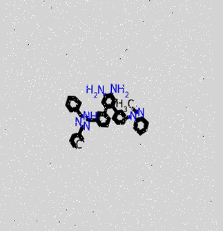 Cc1nc2ccccc2n1-c1cccc(-c2cc(N)c(N)cc2-c2cccc(C3=NC(c4ccccc4)=NC(c4ccccc4)N3)c2)c1